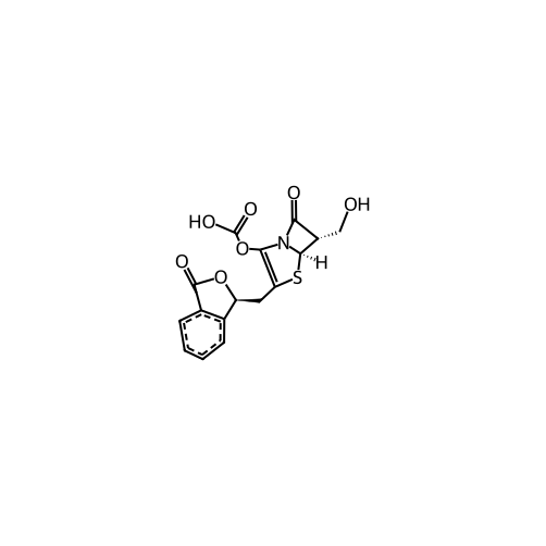 O=C(O)OC1=C(C[C@@H]2OC(=O)c3ccccc32)S[C@@H]2[C@@H](CO)C(=O)N12